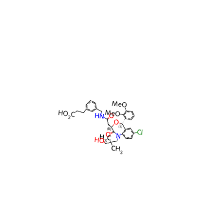 COc1cccc([C@H]2O[C@H](CC(=O)NCc3cccc(CCC(=O)O)c3)C(=O)N(CC(C)(C)CO)c3ccc(Cl)cc32)c1OC